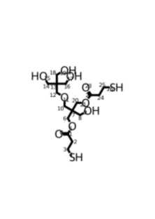 O=C(CCS)OCC(CO)(COCC(CO)(CO)CO)COC(=O)CCS